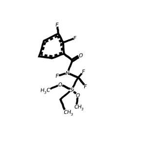 CC[Si](OC)(OC)C(F)(F)N(F)C(=O)c1cccc(F)c1F